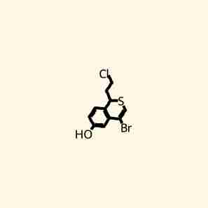 Oc1ccc2c(c1)C(Br)=CSC2CCCl